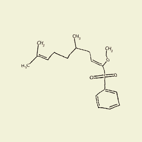 COC(=CCC(C)CCC=C(C)C)S(=O)(=O)c1ccccc1